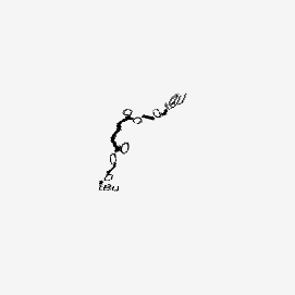 CC(C)(C)COCCOC(=O)CCCC(=O)OCCOCC(C)(C)C